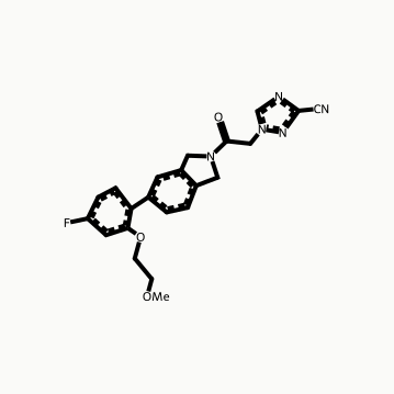 COCCOc1cc(F)ccc1-c1ccc2c(c1)CN(C(=O)Cn1cnc(C#N)n1)C2